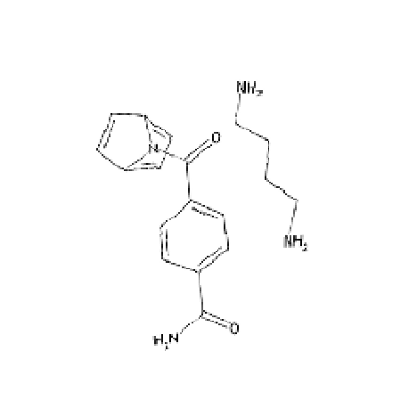 NC(=O)c1ccc(C(=O)n2c3ccc2cc3)cc1.NCCCCN